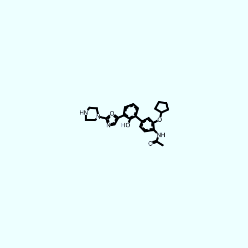 CC(=O)Nc1ccc(-c2cccc(-c3cnc(N4CCNCC4)o3)c2O)cc1OC1CCCC1